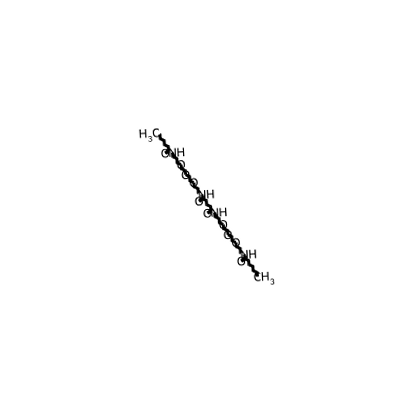 CCCCCCC(=O)NCCCOCCOCCOCCCNC(=O)CCCC(=O)NCCCOCCOCCOCCCNC(=O)CCCCCC